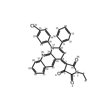 CCN1C(=O)C(=O)/C(=C2/C=C(c3ccccc3)N(c3ccc(Cl)cc3)c3nc4ccccc4cc32)C1=O